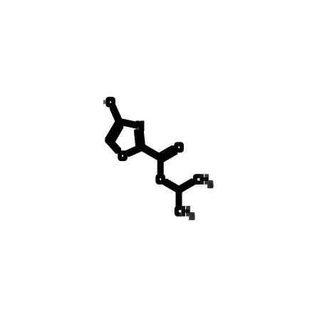 CC(C)OC(=O)c1nc([O])co1